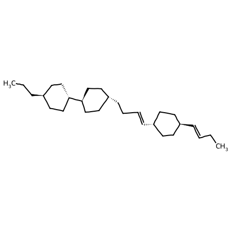 CCC=C[C@H]1CC[C@H](C=CCC[C@H]2CC[C@H]([C@H]3CC[C@H](CCC)CC3)CC2)CC1